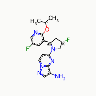 C[C](C)Oc1ncc(F)cc1[C@H]1C[C@H](F)CN1c1ccn2ncc(N)c2n1